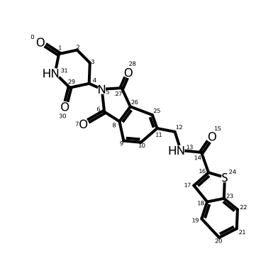 O=C1CCC(N2C(=O)c3ccc(CNC(=O)c4cc5ccccc5s4)cc3C2=O)C(=O)N1